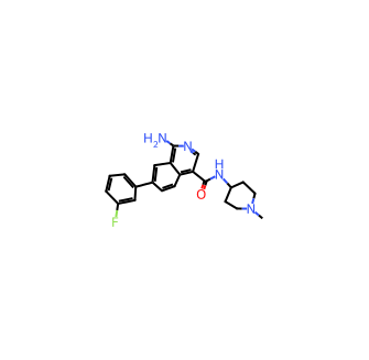 CN1CCC(NC(=O)c2cnc(N)c3cc(-c4cccc(F)c4)ccc23)CC1